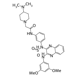 COc1cc(Nc2nc3ccccc3nc2N(c2cccc(NC(=O)CN3CCC(N(C)C)CC3)c2)[SH](=O)=O)cc(OC)c1